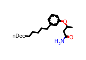 CCCCCCCCCCCCCCCc1cccc(OC(C)CC(N)=O)c1